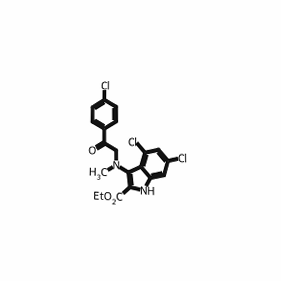 CCOC(=O)c1[nH]c2cc(Cl)cc(Cl)c2c1N(C)CC(=O)c1ccc(Cl)cc1